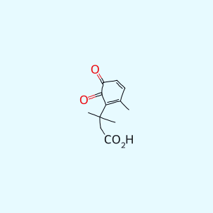 CC1=C(C(C)(C)CC(=O)O)C(=O)C(=O)C=C1